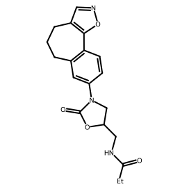 CCC(=O)NCC1CN(c2ccc3c(c2)CCCc2cnoc2-3)C(=O)O1